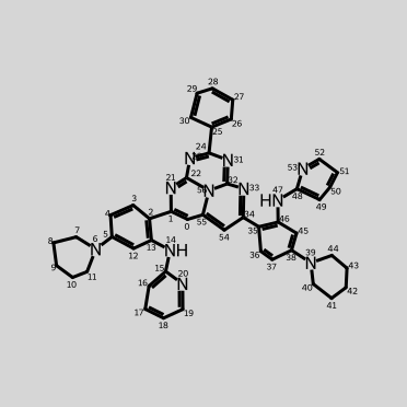 C1=C(c2ccc(N3CCCCC3)cc2Nc2ccccn2)N=C2N=C(c3ccccc3)N=C3N=C(c4ccc(N5CCCCC5)cc4Nc4ccccn4)C=C1N23